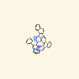 c1ccc(-c2cc3cccnc3nc2-c2ccc3c4c(nnc(-c5nc6ncccc6cc5-c5ccccc5)c24)-c2c-3ccc3ccccc23)cc1